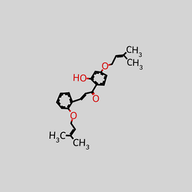 CC(C)=CCOc1ccc(C(=O)C=Cc2ccccc2OCC=C(C)C)c(O)c1